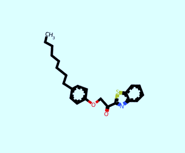 CCCCCCCCc1ccc(OCC(=O)c2nc3ccccc3s2)cc1